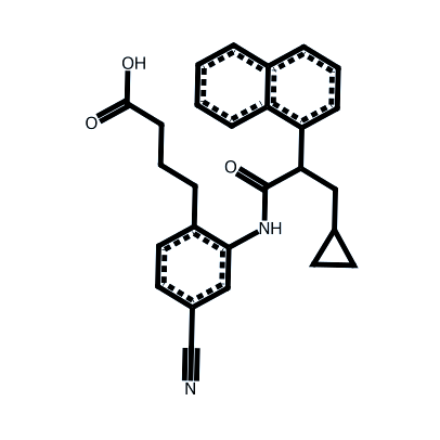 N#Cc1ccc(CCCC(=O)O)c(NC(=O)C(CC2CC2)c2cccc3ccccc23)c1